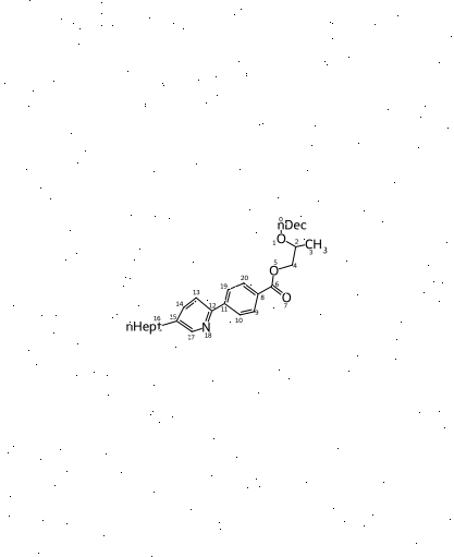 CCCCCCCCCCOC(C)COC(=O)c1ccc(-c2ccc(CCCCCCC)cn2)cc1